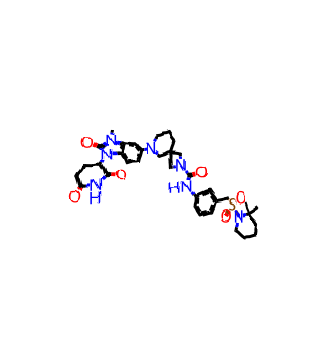 Cn1c(=O)n(C2CCC(=O)NC2=O)c2ccc(N3CCCC4(CN(C(=O)Nc5cccc(CS(=O)(=O)N6CCCCC6(C)C)c5)C4)C3)cc21